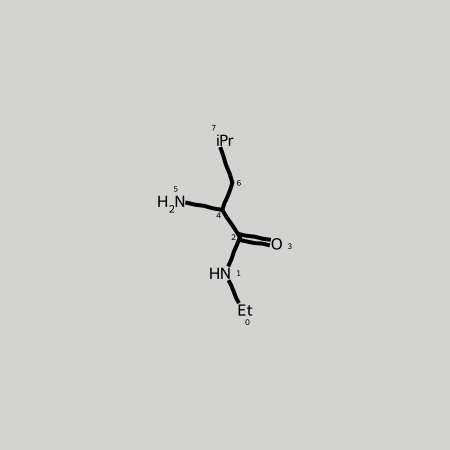 CCNC(=O)C(N)CC(C)C